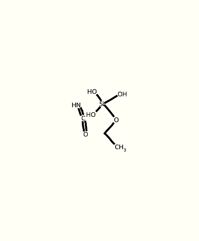 CCO[Si](O)(O)O.N=C=O